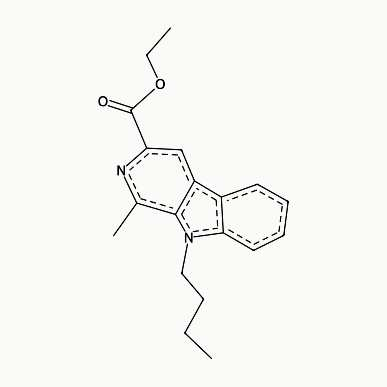 CCCCn1c2ccccc2c2cc(C(=O)OCC)nc(C)c21